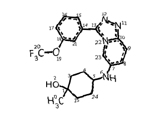 CC1(O)CCC(Nc2ccc3nnc(-c4cccc(OC(F)(F)F)c4)n3c2)CC1